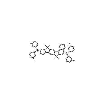 Cc1cccc(N(c2cccc(C)c2)c2ccc3c(c2)C(C)(C)c2cc4c(cc2-3)C(C)(C)c2cc(N(c3cccc(C)c3)c3cccc(C)c3)c3ccccc3c2-4)c1